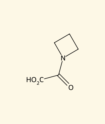 O=C(O)C(=O)N1CCC1